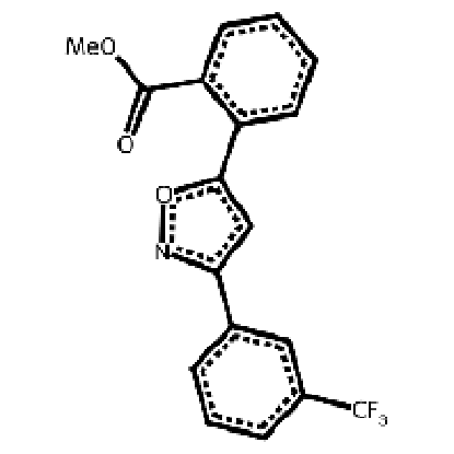 COC(=O)c1ccccc1-c1cc(-c2cccc(C(F)(F)F)c2)no1